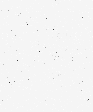 CCOC(=O)CC1CC(C(F)(F)F)N(C(=O)O)C1=O